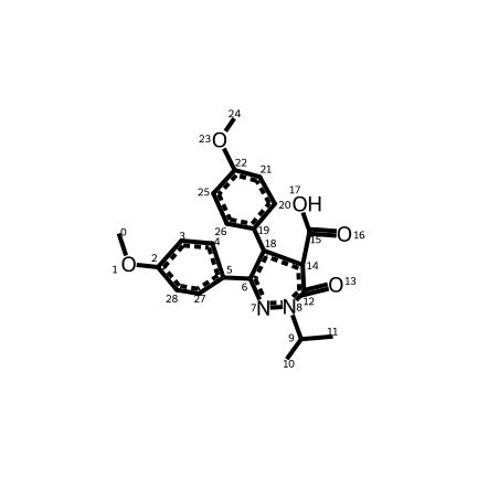 COc1ccc(-c2nn(C(C)C)c(=O)c(C(=O)O)c2-c2ccc(OC)cc2)cc1